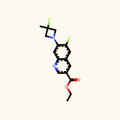 CCOC(=O)c1cnc2cc(N3CC(C)(F)C3)c(F)cc2c1